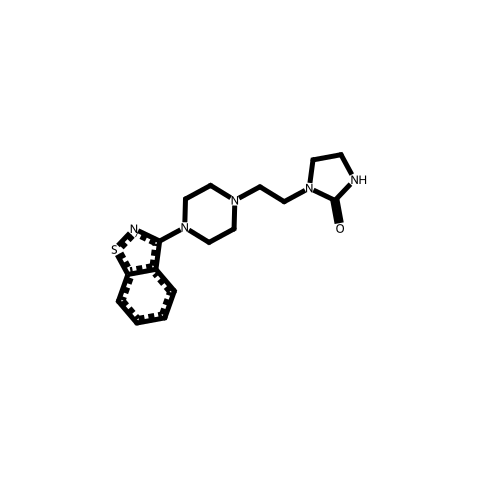 O=C1NCCN1CCN1CCN(c2nsc3ccccc23)CC1